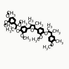 COc1ccc([C@@H](C)[C@@H](C)Oc2ccc(C3OC(c4ccc(O[C@H](C)[C@H](OC)c5ccc(OC)c(OC)c5)c(OC)c4)[C@H](C)[C@H]3C)cc2OC)cc1C